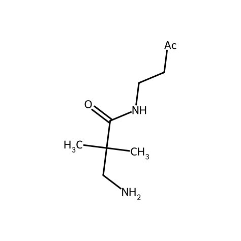 CC(=O)CCNC(=O)C(C)(C)CN